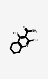 NC(=O)c1c(O)nc2c(c1O)CCCC2